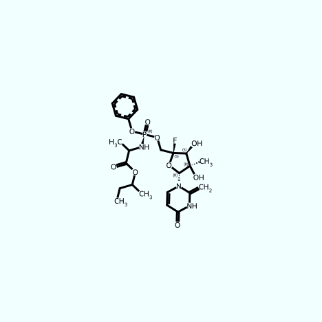 C=C1NC(=O)C=CN1[C@@H]1O[C@](F)(CO[P@](=O)(NC(C)C(=O)OC(C)CC)Oc2ccccc2)[C@@H](O)[C@@]1(C)O